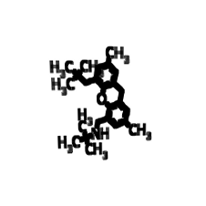 Cc1cc(CNC(C)(C)C)c2c(c1)Cc1cc(C)cc(CC(C)(C)C)c1O2